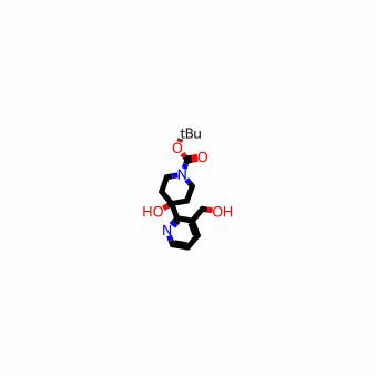 CC(C)(C)OC(=O)N1CCC(O)(c2ncccc2CO)CC1